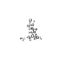 C=CCOC(=O)c1cc(NC(=O)[C@@H]2C[C@@H](C(C(=O)S)C(=O)OCC=C)CN2)cc(S(C)(=O)=O)c1